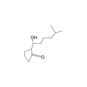 CC(C)CCCC(O)C1CCCC1=O